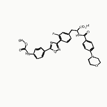 CC(C)(C)OC(=O)Nc1ccc(-c2nc(-c3ccc(CC(NC(=O)c4ccc(N5CCOCC5)cc4)C(=O)O)cc3F)no2)cc1